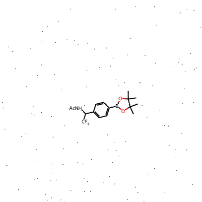 CC(=O)NC(c1ccc(B2OC(C)(C)C(C)(C)O2)cc1)C(F)(F)F